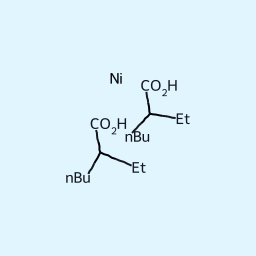 CCCCC(CC)C(=O)O.CCCCC(CC)C(=O)O.[Ni]